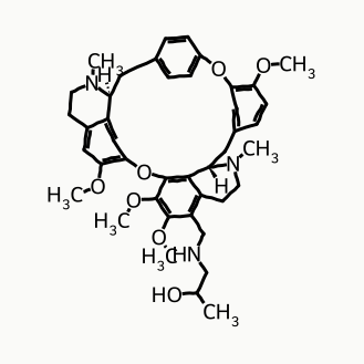 COc1ccc2cc1Oc1ccc(cc1)C[C@H]1c3cc(c(OC)cc3CCN1C)Oc1c(OC)c(OC)c(CNCC(C)O)c3c1[C@H](C2)N(C)CC3